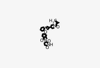 CC1CC1C(=O)N1CCC(C2CN([C@@H]3CCCC[C@H]3Oc3ccc4c(c3)CN(C3CCC(=O)NC3=O)C4=O)C2)CC1